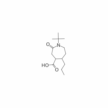 CCCC1CCN(C(C)(C)C)C(=O)CC1C(=O)O